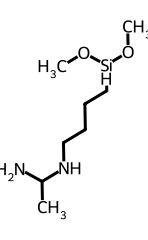 CO[SiH](CCCCNC(C)N)OC